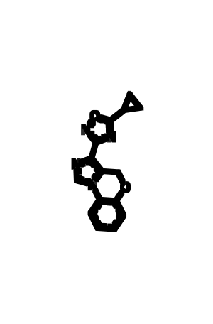 c1ccc2c(c1)OCc1c(-c3noc(C4CC4)n3)ncn1-2